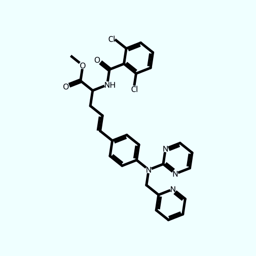 COC(=O)C(CC=Cc1ccc(N(Cc2ccccn2)c2ncccn2)cc1)NC(=O)c1c(Cl)cccc1Cl